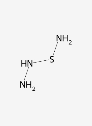 NNSN